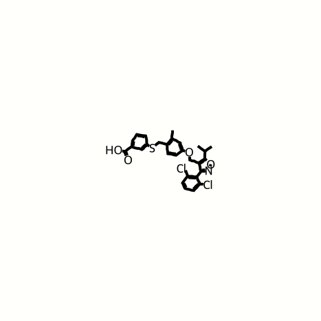 Cc1cc(OCc2c(-c3c(Cl)cccc3Cl)noc2C(C)C)ccc1CSc1cccc(C(=O)O)c1